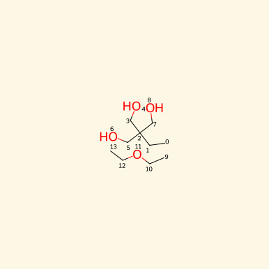 CCC(CO)(CO)CO.CCOCC